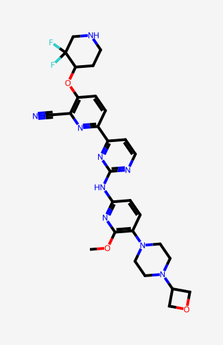 COc1nc(Nc2nccc(-c3ccc(OC4CCNCC4(F)F)c(C#N)n3)n2)ccc1N1CCN(C2COC2)CC1